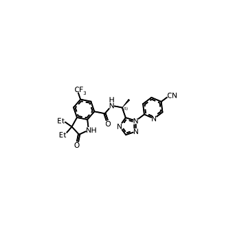 CCC1(CC)C(=O)Nc2c(C(=O)N[C@@H](C)c3ncnn3-c3ccc(C#N)cn3)cc(C(F)(F)F)cc21